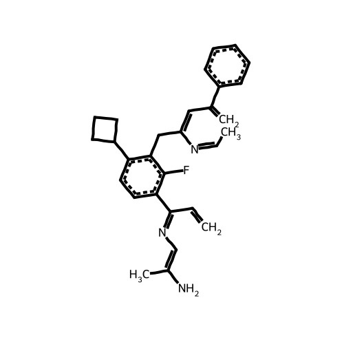 C=C/C(=N\C=C(/C)N)c1ccc(C2CCC2)c(CC(=C/C(=C)c2ccccc2)/N=C\C)c1F